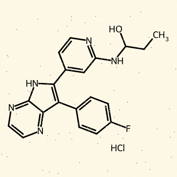 CCC(O)Nc1cc(-c2[nH]c3nccnc3c2-c2ccc(F)cc2)ccn1.Cl